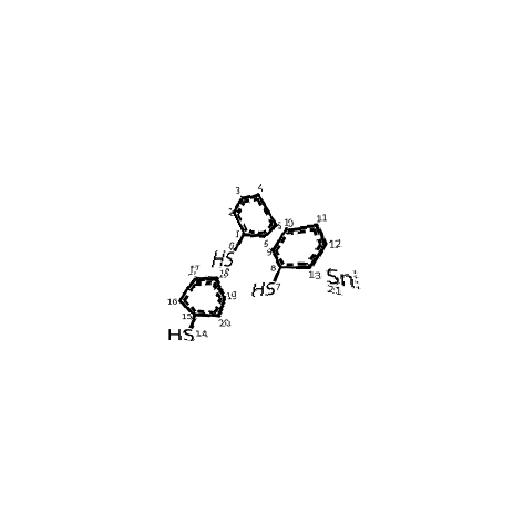 Sc1ccccc1.Sc1ccccc1.Sc1ccccc1.[Sn]